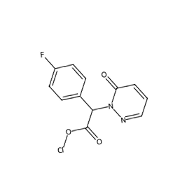 O=C(OCl)C(c1ccc(F)cc1)n1ncccc1=O